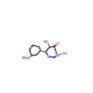 COc1cccc(-c2ncn(S)c(=O)c2C#N)c1